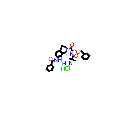 CC(C)(N)C(=O)N[C@H](COCc1ccccc1)C(=O)N1CCc2ccc(NC(=O)c3ccccc3)cc2C1.Cl